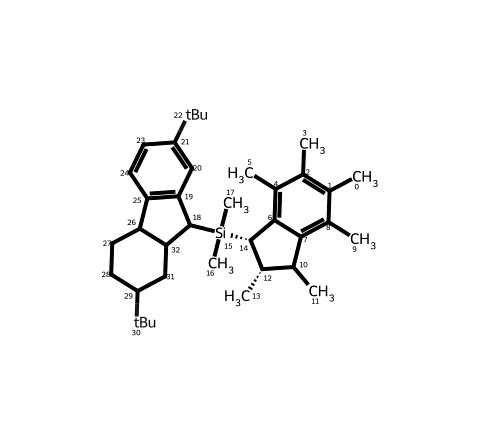 Cc1c(C)c(C)c2c(c1C)C(C)[C@H](C)[C@@H]2[Si](C)(C)C1c2cc(C(C)(C)C)ccc2C2CCC(C(C)(C)C)CC21